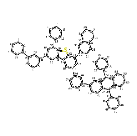 c1ccc(-c2cccc(-c3cc(-c4ccccc4)c4sc5c(-c6ccc7ccccc7c6)cc(-c6cccc(-c7ccc8c(-c9ccccc9)c9ccccc9c(-c9ccccc9)c8c7)c6)cc5c4c3)c2)cc1